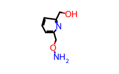 NOCc1cccc(CO)n1